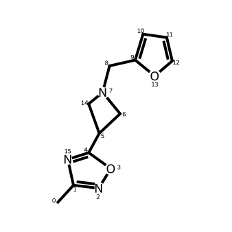 Cc1noc(C2CN(Cc3ccco3)C2)n1